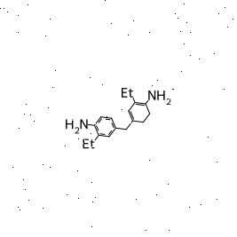 CCC1=C(N)CCC(Cc2ccc(N)c(CC)c2)=C1